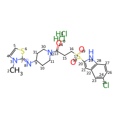 Cl.Cl.Cn1ccs/c1=N\C1CCN(C(=O)CCS(=O)(=O)c2cc3cc(Cl)ccc3[nH]2)CC1